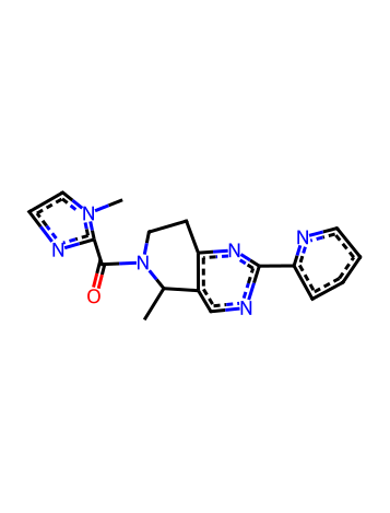 CC1c2cnc(-c3ccccn3)nc2CCN1C(=O)c1nccn1C